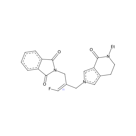 CCN1CCc2cn(C/C(=C/F)CN3C(=O)c4ccccc4C3=O)cc2C1=O